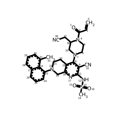 C=CC(=O)N1CCN(c2c(C#N)c(NS(C)(=O)=O)nc3c2CCN(c2cccc4cccc(C)c24)C3)CC1CC#N